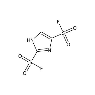 O=S(=O)(F)c1c[nH]c(S(=O)(=O)F)n1